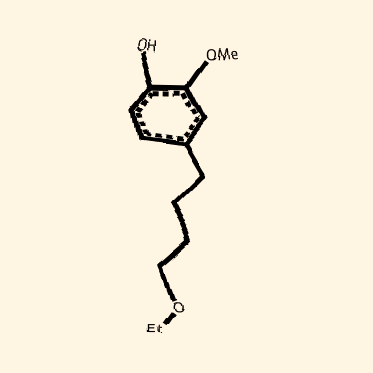 CCOCCCCc1ccc(O)c(OC)c1